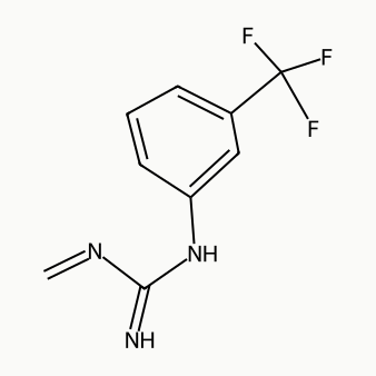 C=NC(=N)Nc1cccc(C(F)(F)F)c1